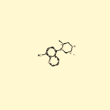 C[C@@H]1CN(c2ccc(C#N)c3ncccc23)[C@@H](C)CN1